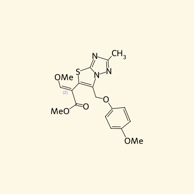 CO/C=C(/C(=O)OC)c1sc2nc(C)nn2c1COc1ccc(OC)cc1